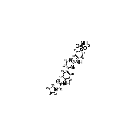 NS(=O)(=O)c1ccc(Nc2nccc(-c3ccc(NC(=O)CN4CCCC4)cc3)n2)cc1